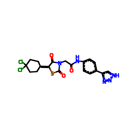 O=C(CN1C(=O)SC(=C2CCC(Cl)(Cl)CC2)C1=O)Nc1ccc(-c2c[nH]nn2)cc1